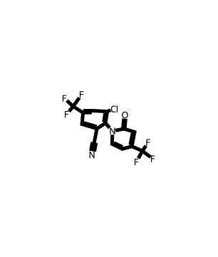 N#Cc1cc(C(F)(F)F)cc(Cl)c1-n1ccc(C(F)(F)F)cc1=O